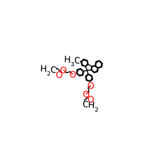 C=CC(=O)OCCOc1ccc(C2(c3ccc(OCCOC(=O)C=C)cc3)c3cc(C)ccc3-c3c2ccc2ccccc32)cc1